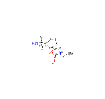 [2H]C([2H])(N)[C@H]1CCC[C@]2(C1)CN(CC(C)(C)C)C(=O)O2